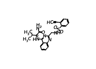 C#Cc1ccccc1S(=O)(=O)NCc1nc(N[C@H](C(N)=O)C(C)C)c2ccccc2n1